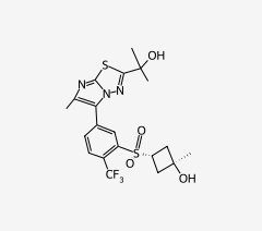 Cc1nc2sc(C(C)(C)O)nn2c1-c1ccc(C(F)(F)F)c(S(=O)(=O)[C@H]2C[C@](C)(O)C2)c1